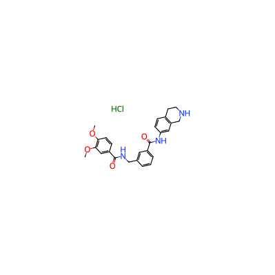 COc1ccc(C(=O)NCc2cccc(C(=O)Nc3ccc4c(c3)CNCC4)c2)cc1OC.Cl